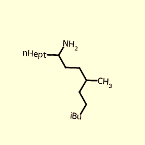 CCCCCCCC(N)CCC(C)CCC(C)CC